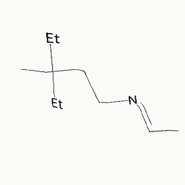 CC=NCCC(C)(CC)CC